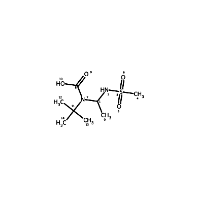 CC(NS(C)(=O)=O)N(C(=O)O)C(C)(C)C